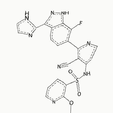 COc1ncccc1S(=O)(=O)Nc1ccnc(-c2ccc3c(-c4ncc[nH]4)n[nH]c3c2F)c1C#N